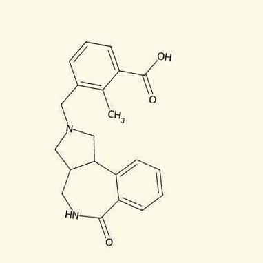 Cc1c(CN2CC3CNC(=O)c4ccccc4C3C2)cccc1C(=O)O